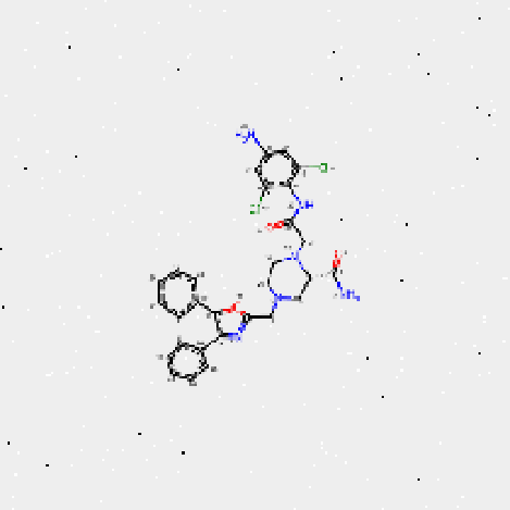 NC(=O)[C@@H]1CN(Cc2nc(-c3ccccc3)c(-c3ccccc3)o2)CCN1CC(=O)Nc1c(Cl)cc(N)cc1Cl